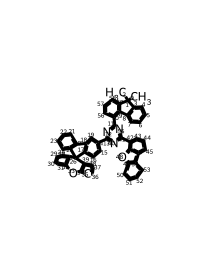 CC1(C)c2ccccc2-c2c(-c3nc(-c4ccc5c(c4)-c4ccccc4C54c5ccccc5Oc5ccccc54)nc(-c4cccc5c4oc4ccccc45)n3)cccc21